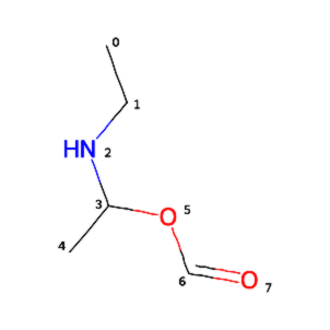 CCNC(C)OC=O